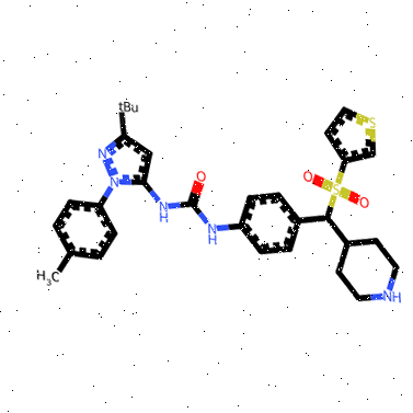 Cc1ccc(-n2nc(C(C)(C)C)cc2NC(=O)Nc2ccc(C(C3CCNCC3)S(=O)(=O)c3ccsc3)cc2)cc1